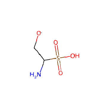 NC(C[O])S(=O)(=O)O